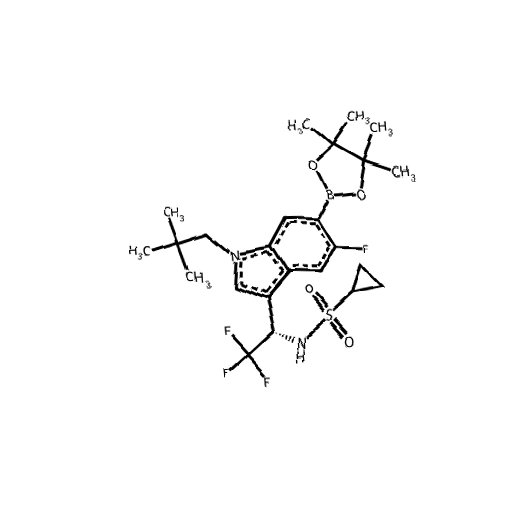 CC(C)(C)Cn1cc([C@H](NS(=O)(=O)C2CC2)C(F)(F)F)c2cc(F)c(B3OC(C)(C)C(C)(C)O3)cc21